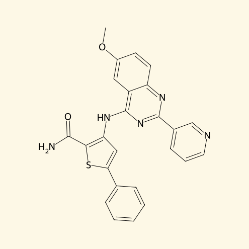 COc1ccc2nc(-c3cccnc3)nc(Nc3cc(-c4ccccc4)sc3C(N)=O)c2c1